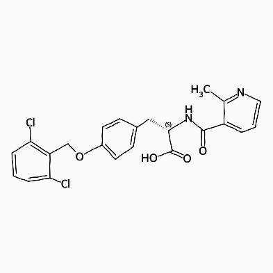 Cc1ncccc1C(=O)N[C@@H](Cc1ccc(OCc2c(Cl)cccc2Cl)cc1)C(=O)O